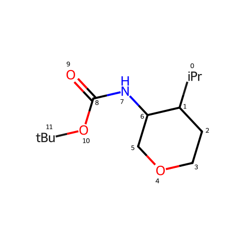 CC(C)C1CCOCC1NC(=O)OC(C)(C)C